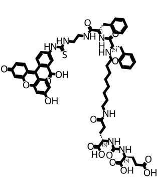 O=C(O)CC[C@H](NC(=O)N[C@@H](CCC(=O)NCCCCCCCC(=O)N[C@@H](Cc1ccccc1)C(=O)N[C@@H](Cc1ccccc1)C(=O)NCCNC(=S)Nc1ccc(-c2c3ccc(=O)cc-3oc3cc(O)ccc23)c(C(=O)O)c1)C(=O)O)C(=O)O